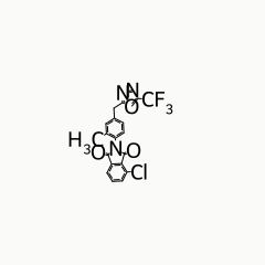 Cc1cc(Cc2nnc(C(F)(F)F)o2)ccc1N1C(=O)c2cccc(Cl)c2C1=O